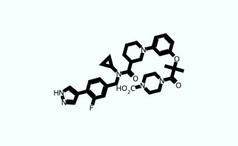 CC(C)(Oc1cccc(N2CCCC(C(=O)N(Cc3ccc(-c4cn[nH]c4)c(F)c3)C3CC3)C2)c1)C(=O)N1CCN(C(=O)O)CC1